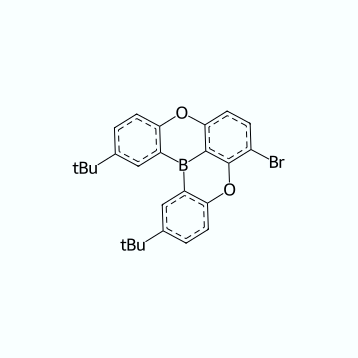 CC(C)(C)c1ccc2c(c1)B1c3cc(C(C)(C)C)ccc3Oc3c(Br)ccc(c31)O2